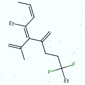 C=C(C)/C(C(=C)CCC(F)(F)CC)=C(/C=C\C)CC